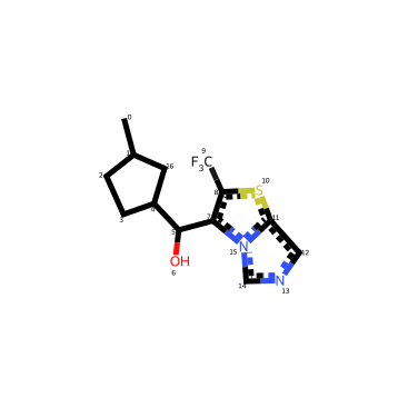 CC1CCC(C(O)c2c(C(F)(F)F)sc3cncn23)C1